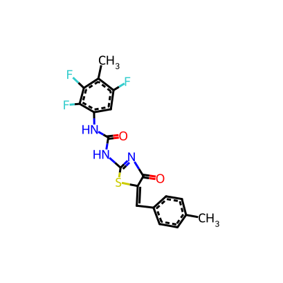 Cc1ccc(C=C2SC(NC(=O)Nc3cc(F)c(C)c(F)c3F)=NC2=O)cc1